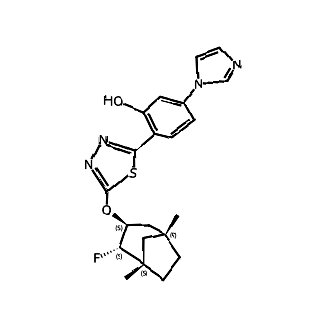 C[C@@]12CC[C@@](C)(C1)[C@H](F)[C@@H](Oc1nnc(-c3ccc(-n4ccnc4)cc3O)s1)C2